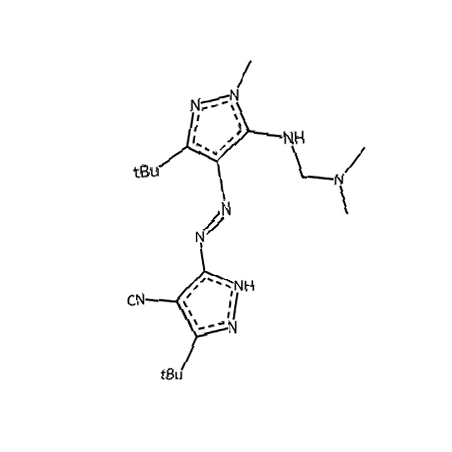 [C-]#[N+]c1c(C(C)(C)C)n[nH]c1/N=N/c1c(C(C)(C)C)nn(C)c1NCN(C)C